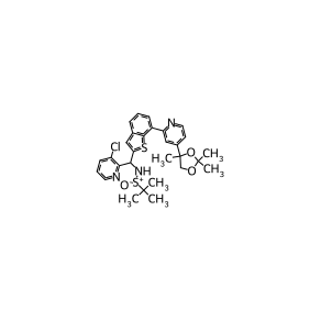 CC1(C)OCC(C)(c2ccnc(-c3cccc4cc(C(N[S+]([O-])C(C)(C)C)c5ncccc5Cl)sc34)c2)O1